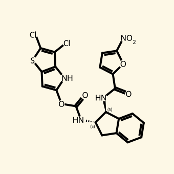 O=C(N[C@H]1Cc2ccccc2[C@@H]1NC(=O)c1ccc([N+](=O)[O-])o1)Oc1cc2sc(Cl)c(Cl)c2[nH]1